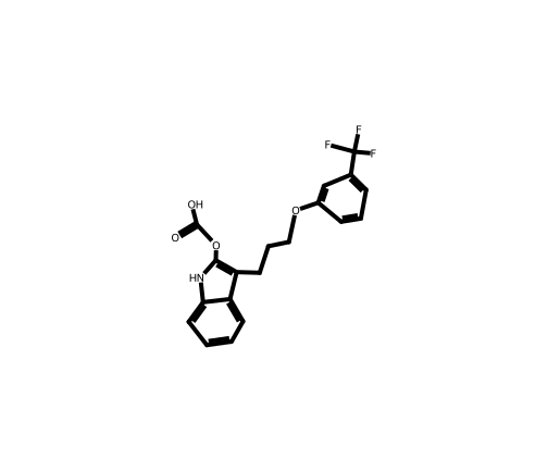 O=C(O)Oc1[nH]c2ccccc2c1CCCOc1cccc(C(F)(F)F)c1